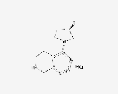 Cl.F[C@@H]1CCN(c2ncnc3c2CCNC3)C1